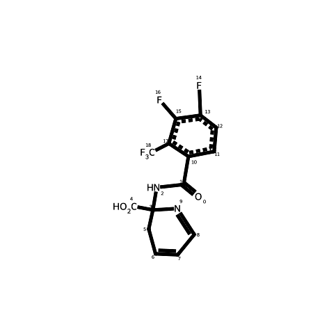 O=C(NC1(C(=O)O)CC=CC=N1)c1ccc(F)c(F)c1C(F)(F)F